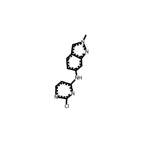 Cn1cc2ccc(Nc3ccnc(Cl)n3)cc2n1